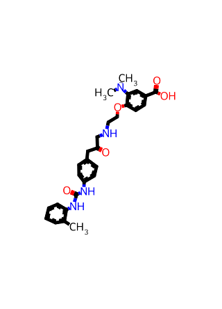 Cc1ccccc1NC(=O)Nc1ccc(CC(=O)CNCCOc2ccc(C(=O)O)cc2N(C)C)cc1